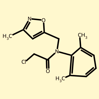 Cc1cc(CN(C(=O)CCl)c2c(C)cccc2C)on1